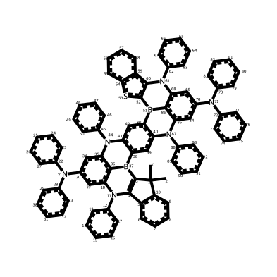 CC1(C)C2=C(c3ccccc31)N(c1ccccc1)c1cc(N(c3ccccc3)c3ccccc3)cc3c1B2c1cc2c(cc1N3c1ccccc1)B1c3sc4ccccc4c3N(c3ccccc3)c3cc(N(c4ccccc4)c4ccccc4)cc(c31)N2c1ccccc1